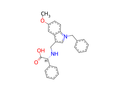 COc1ccc2c(c1)c(CN[C@@H](C(=O)O)c1ccccc1)cn2Cc1ccccc1